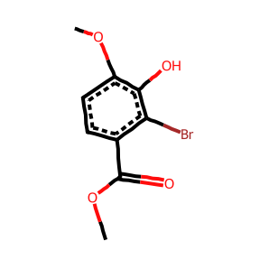 COC(=O)c1ccc(OC)c(O)c1Br